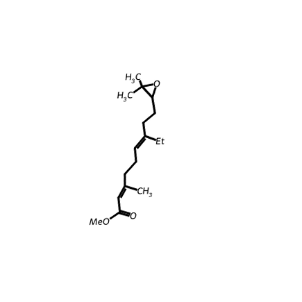 CC/C(=C\CC/C(C)=C/C(=O)OC)CCC1OC1(C)C